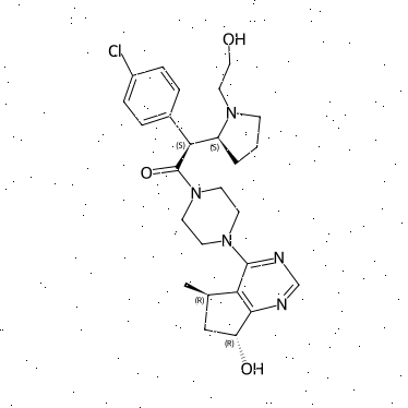 C[C@@H]1C[C@@H](O)c2ncnc(N3CCN(C(=O)[C@@H](c4ccc(Cl)cc4)[C@@H]4CCCN4CCO)CC3)c21